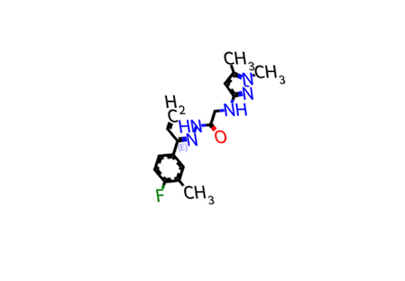 C=C/C(=N\NC(=O)CNc1cc(C)n(C)n1)c1ccc(F)c(C)c1